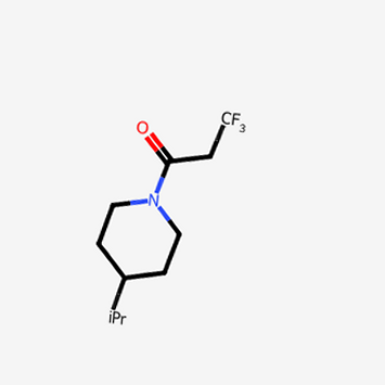 CC(C)C1CCN(C(=O)CC(F)(F)F)CC1